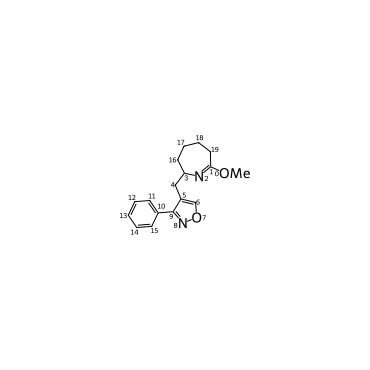 COC1=NC(Cc2conc2-c2ccccc2)CCCC1